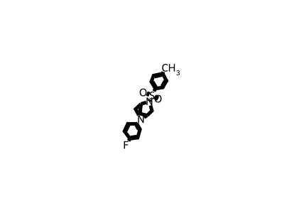 Cc1ccc(S(=O)(=O)N2CC3CC2CN3c2ccc(F)cc2)cc1